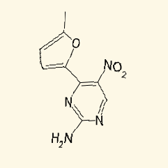 Cc1ccc(-c2nc(N)ncc2[N+](=O)[O-])o1